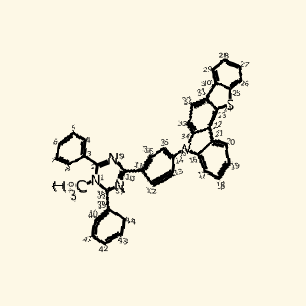 CN1C(c2ccccc2)=NC(c2c#cc(-n3c4ccccc4c4c5sc6ccccc6c5ccc43)cc2)=NC1C1=C=CC=CC1